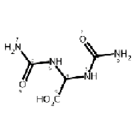 NC(=O)NC(NC(N)=O)C(=O)O